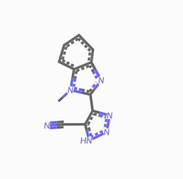 Cn1c(-c2nn[nH]c2C#N)nc2ccccc21